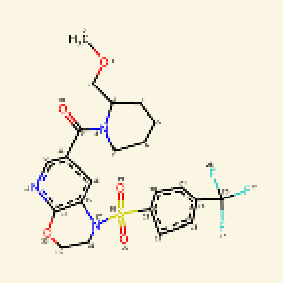 COCC1CCCCN1C(=O)c1cnc2c(c1)N(S(=O)(=O)c1ccc(C(F)(F)F)cc1)CCO2